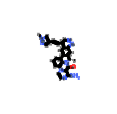 C[C@H](NC(=O)c1nccnc1N)c1cc2nncc(C#Cc3cnn(C)c3)c2cc1-c1ccccc1